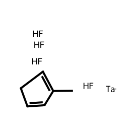 CC1=CCC=C1.F.F.F.F.[Ta]